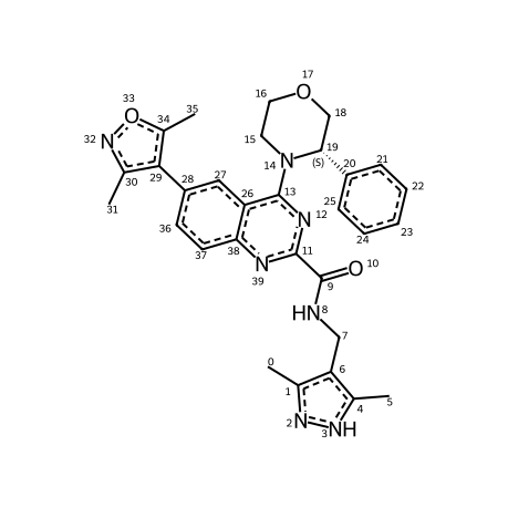 Cc1n[nH]c(C)c1CNC(=O)c1nc(N2CCOC[C@@H]2c2ccccc2)c2cc(-c3c(C)noc3C)ccc2n1